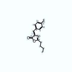 CCCCC1=N/C(=C\c2ccc(F)cc2)C(=O)O1